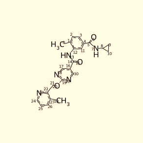 Cc1ccc(C(=O)NC2CC2)cc1NC(=O)c1cnc(OCc2ncccc2C)nc1